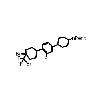 CCCCCC1CCC(c2ccc(C3CCC(Br)(C(F)(F)Br)CC3)c(F)c2)CC1